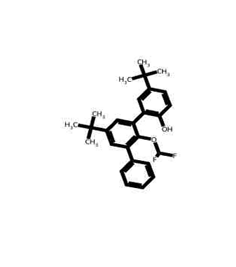 CC(C)(C)c1ccc(O)c(-c2cc(C(C)(C)C)cc(-c3ccccc3)c2OC(F)F)c1